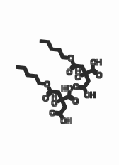 CCCCCOC(=O)CC(O)(CC(=O)O)C(=O)O.CCCCCOC(=O)CC(O)(CC(=O)O)C(=O)O